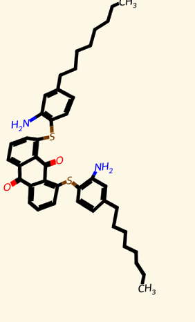 CCCCCCCCc1ccc(Sc2cccc3c2C(=O)c2c(Sc4ccc(CCCCCCCC)cc4N)cccc2C3=O)c(N)c1